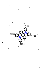 Cc1ccc2c(N(c3ccc(C(C)(C)C)cc3)c3ccc(C(C)(C)C)cc3)c3ccccc3c(N(c3ccc(C(C)(C)C)cc3)c3ccc(C(C)(C)C)cc3)c2c1